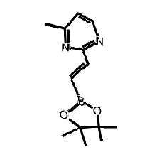 Cc1ccnc(C=CB2OC(C)(C)C(C)(C)O2)n1